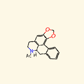 CC(=O)N1CCc2cc3c(c4c2[C@H]1Cc1ccccc1-4)OCO3